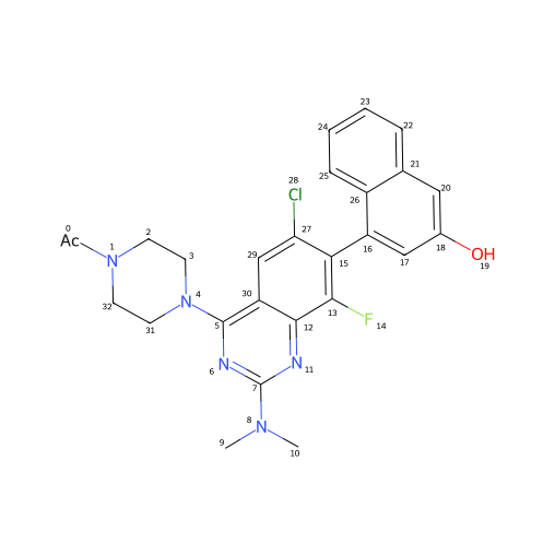 CC(=O)N1CCN(c2nc(N(C)C)nc3c(F)c(-c4cc(O)cc5ccccc45)c(Cl)cc23)CC1